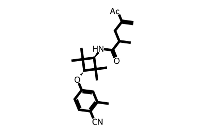 C=C(CC(C)C(=O)N[C@H]1C(C)(C)[C@H](Oc2ccc(C#N)c(C)c2)C1(C)C)C(C)=O